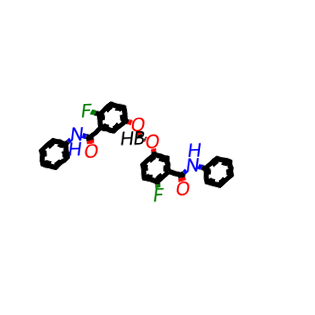 O=C(Nc1ccccc1)c1cc(OBOc2ccc(F)c(C(=O)Nc3ccccc3)c2)ccc1F